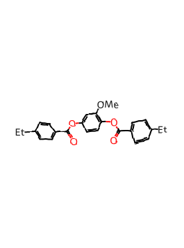 CCc1ccc(C(=O)Oc2ccc(OC(=O)c3ccc(CC)cc3)c(OC)c2)cc1